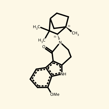 COc1cccc2c3c([nH]c12)CCN([C@@H]1C(C)(C)C2CC[C@@]1(C)C2)C3=O